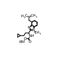 CN(C)Cc1cccc2c1nc(C(CCC1CC1)NC(=O)OC(C)(C)C)n2C